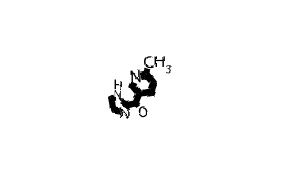 Cc1ccc(C(=O)c2ncc[nH]2)cn1